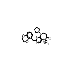 C[N+]1(N)C(=O)CCN(C2CCCC2)c2nc(Cc3cccc4c3OCCO4)ncc21